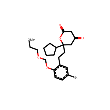 CCc1ccc(OCOCCOC)c(CCC2(C3CCCC3)CC(=O)CC(=O)O2)c1